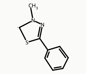 CN1[CH]SC(c2ccccc2)=N1